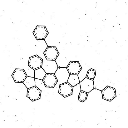 c1ccc(-c2ccc(N(c3cccc4c3-c3ccccc3C43c4ccccc4-c4ccccc43)c3cccc4c3-c3ccccc3C43c4ccccc4N(c4ccccc4)c4ccccc43)cc2)cc1